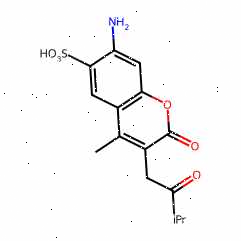 Cc1c(CC(=O)C(C)C)c(=O)oc2cc(N)c(S(=O)(=O)O)cc12